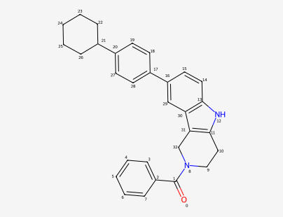 O=C(c1ccccc1)N1CCc2[nH]c3ccc(-c4ccc(C5CCCCC5)cc4)cc3c2C1